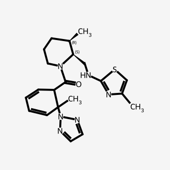 Cc1csc(NC[C@@H]2[C@H](C)CCCN2C(=O)C2C=CC=CC2(C)n2nccn2)n1